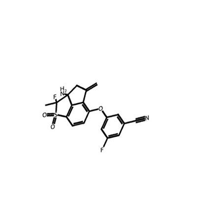 C=C1CC2(N)c3c(ccc(Oc4cc(F)cc(C#N)c4)c31)S(=O)(=O)C2(C)F